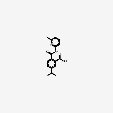 Cc1cccc(NC(=O)c2ccc(C(C)C)cc2C(=O)O)n1